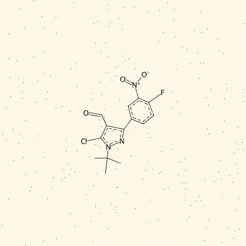 CC(C)(C)n1nc(-c2ccc(F)c([N+](=O)[O-])c2)c(C=O)c1Cl